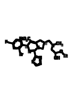 CCOC(=O)C1=C2C[C@@H](CN(C)CC(O)OCC)CN2C(c2nccs2)=N[C@H]1c1ccc(F)cc1Br